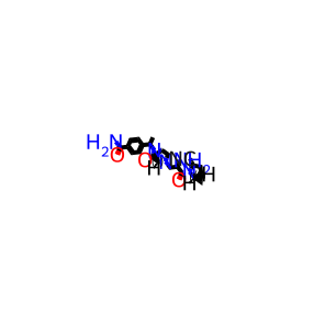 CC(c1ccc(C(N)=O)cc1)N1C(=O)[C@@H]2CC1CN2CC(N)C(=O)N1C(C#N)C[C@@H]2C[C@@H]21